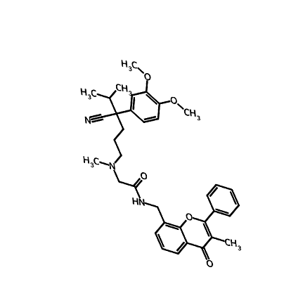 COc1ccc(C(C#N)(CCCN(C)CC(=O)NCc2cccc3c(=O)c(C)c(-c4ccccc4)oc23)C(C)C)cc1OC